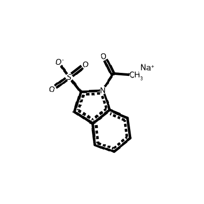 CC(=O)n1c(S(=O)(=O)[O-])cc2ccccc21.[Na+]